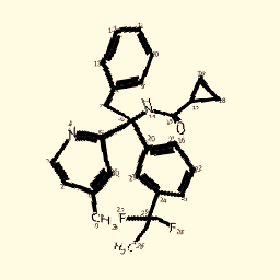 Cc1ccnc(C(Cc2ccccc2)(NC(=O)C2CC2)c2cccc(C(C)(F)F)c2)c1